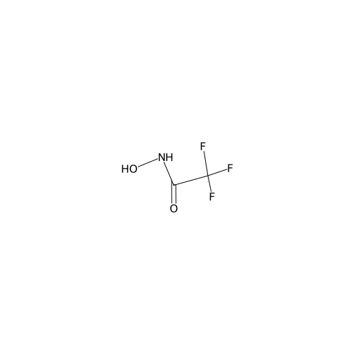 O=C(NO)C(F)(F)F